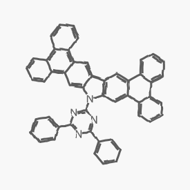 c1ccc(-c2nc(-c3ccccc3)nc(-n3c4cc5c6ccccc6c6ccccc6c5cc4c4cc5c6ccccc6c6ccccc6c5cc43)n2)cc1